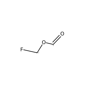 O=[C]O[CH]F